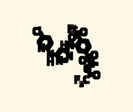 CCS(=O)(=O)c1ccc(S(=O)(=O)N(C)OC(=O)C(F)(F)F)cc1Nc1cc(Nc2ccc(Cl)cn2)ncn1